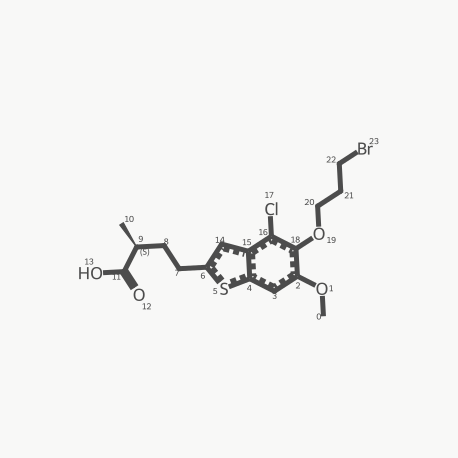 COc1cc2sc(CC[C@H](C)C(=O)O)cc2c(Cl)c1OCCCBr